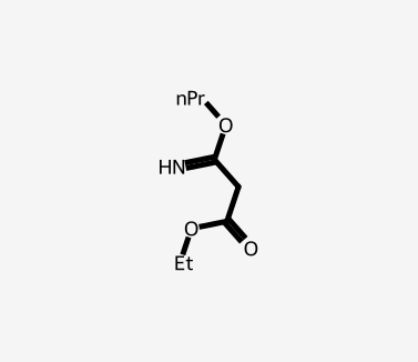 CCCOC(=N)CC(=O)OCC